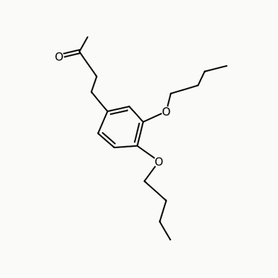 CCCCOc1ccc(CCC(C)=O)cc1OCCCC